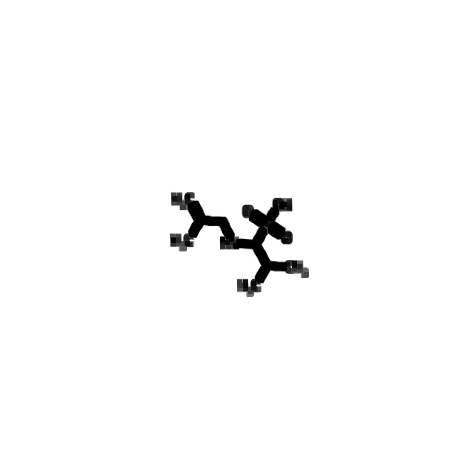 C=C(C)CNC(C(C)C)S(=O)(=O)O